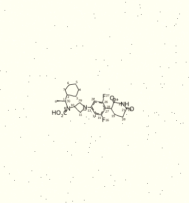 C[C@@H](C1CCCCC1)N(C(=O)O)C1CN(c2cc(F)c(C3CCC(=O)NC3=O)c(F)c2)C1